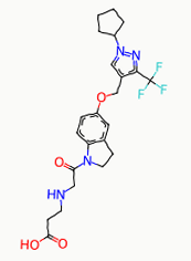 O=C(O)CCNCC(=O)N1CCc2cc(OCc3cn(C4CCCC4)nc3C(F)(F)F)ccc21